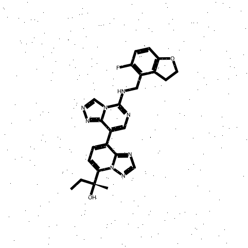 CC[C@@](C)(O)c1ccc(-c2cnc(NCc3c(F)ccc4c3CCO4)n3cnnc23)c2ncnn12